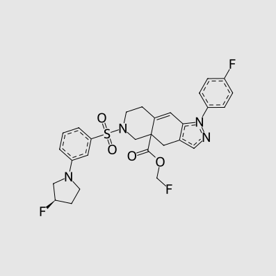 O=C(OCF)C12Cc3cnn(-c4ccc(F)cc4)c3C=C1CCN(S(=O)(=O)c1cccc(N3CC[C@@H](F)C3)c1)C2